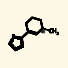 C[C@@H]1C=C(c2cccs2)CCC1